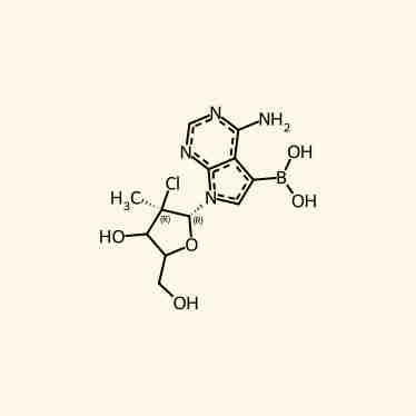 C[C@@]1(Cl)C(O)C(CO)O[C@H]1n1cc(B(O)O)c2c(N)ncnc21